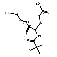 CC(C)(C)C(=O)NC(CCC(=O)O)C(=O)NCCN